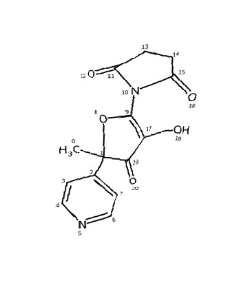 CC1(c2ccncc2)OC(N2C(=O)CCC2=O)=C(O)C1=O